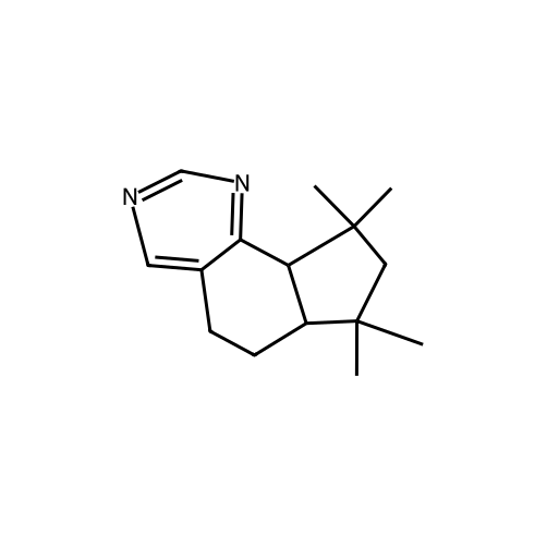 CC1(C)CC(C)(C)C2c3ncncc3CCC21